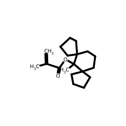 C=C(C)C(=O)OC1(C)C2(CCCC2)CCCC12CCCC2